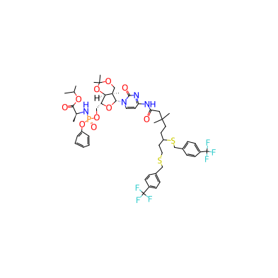 CC(C)OC(=O)[C@H](C)NP(=O)(OC[C@H]1O[C@@H](n2ccc(NC(=O)CC(C)(C)CCC(CCSCc3ccc(C(F)(F)F)cc3)SCc3ccc(C(F)(F)F)cc3)nc2=O)[C@]2(C)COC(C)(C)O[C@H]12)Oc1ccccc1